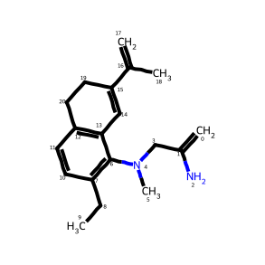 C=C(N)CN(C)c1c(CC)ccc2c1C=C(C(=C)C)CC2